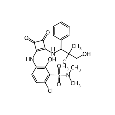 CN(C)S(=O)(=O)c1c(Cl)ccc(Nc2c(NC(c3ccccc3)C(C)(C)CO)c(=O)c2=O)c1O